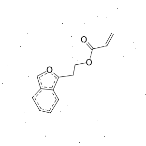 C=CC(=O)OCCc1occ2ccccc12